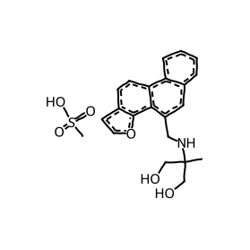 CC(CO)(CO)NCc1cc2ccccc2c2ccc3ccoc3c12.CS(=O)(=O)O